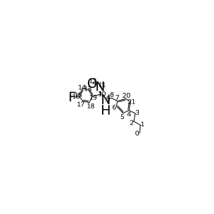 CCCCc1ccc(CNc2noc3cc(F)ccc23)cc1